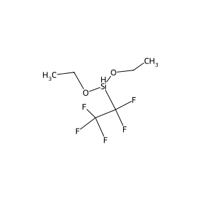 CCO[SiH](OCC)C(F)(F)C(F)(F)F